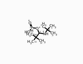 CC(C)(C)NC(O[PH](=O)O)C(C)(C)C